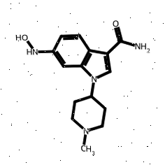 CN1CCC(n2cc(C(N)=O)c3ccc(NO)cc32)CC1